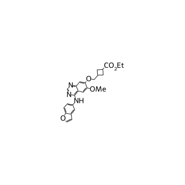 CCOC(=O)C1CC(COc2cc3ncnc(Nc4ccc5occc5c4)c3cc2OC)C1